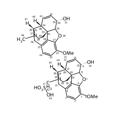 COc1ccc2c3c1OC1[C@@H](O)C=C[C@H]4[C@@H](C2)N(C)CC[C@]314.COc1ccc2c3c1OC1[C@@H](O)C=C[C@H]4[C@@H](C2)N(C)CC[C@]314.O=S(=O)(O)O